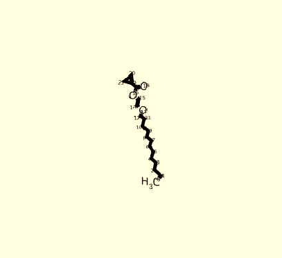 CCCCCCCCCCCCCOCCOC(=O)C1CC1